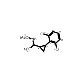 CONC(C)C1CC1c1c(Cl)cccc1Cl